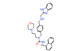 C[C@H](NC(=O)N(CCCN1CCOCC1)Cc1ccc(CNCc2nc3ccccc3[nH]2)cc1)c1cccc2ccccc12